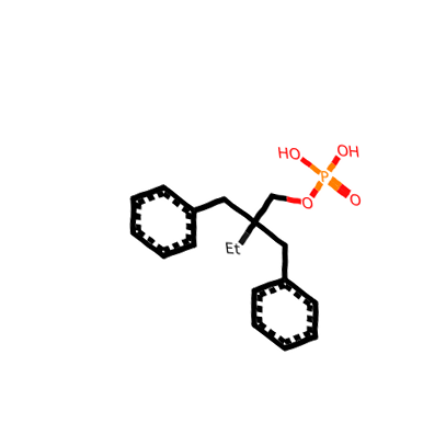 CCC(COP(=O)(O)O)(Cc1ccccc1)Cc1ccccc1